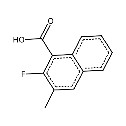 Cc1cc2ccccc2c(C(=O)O)c1F